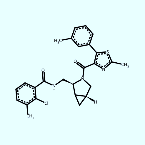 Cc1cccc(-c2sc(C)nc2C(=O)N2C[C@@H]3CC3[C@H]2CNC(=O)c2cccc(C)c2Cl)c1